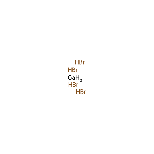 Br.Br.Br.Br.[GaH3]